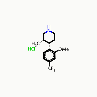 COc1cc(C(F)(F)F)ccc1[C@H]1CCNC[C@H]1C.Cl